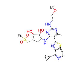 CCOCCNc1nc(C)c(-c2nc3c(C4CC4)nccc3s2)c(NC2C[C@H](CS(=O)(=O)CC)[C@@H](O)[C@H]2O)n1